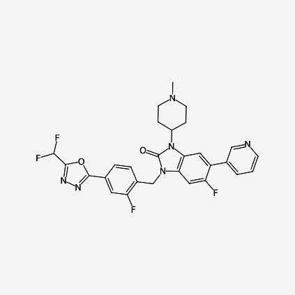 CN1CCC(n2c(=O)n(Cc3ccc(-c4nnc(C(F)F)o4)cc3F)c3cc(F)c(-c4cccnc4)cc32)CC1